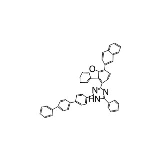 c1ccc(C2=NC(c3ccc(-c4ccc5ccccc5c4)c4oc5ccccc5c34)=NC(c3ccc(-c4ccc(-c5ccccc5)cc4)cc3)N2)cc1